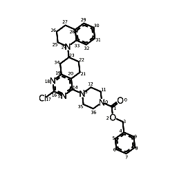 O=C(OCc1ccccc1)N1CCN(c2nc(Cl)nc3c2CCC(N2CCCc4ccccc42)C3)CC1